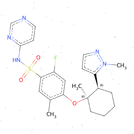 Cc1cc(S(=O)(=O)Nc2ccncn2)c(F)cc1O[C@]1(C)CCCC[C@@H]1c1ccnn1C